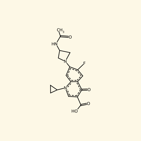 CC(=O)NC1CN(c2cc3c(cc2F)c(=O)c(C(=O)O)cn3C2CC2)C1